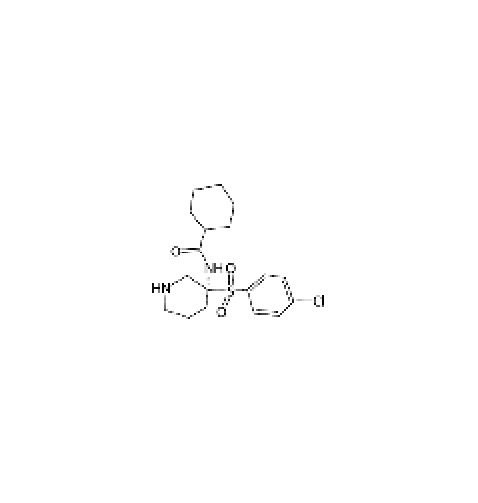 O=C(N[C@]1(S(=O)(=O)c2ccc(Cl)cc2)CCCNC1)C1CCCCC1